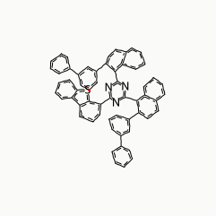 c1ccc(-c2cccc(-c3ccc4ccccc4c3-c3nc(-c4c(-c5cccc(-c6ccccc6)c5)ccc5ccccc45)nc(-c4cccc5c4sc4ccccc45)n3)c2)cc1